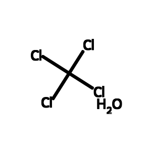 ClC(Cl)(Cl)Cl.O